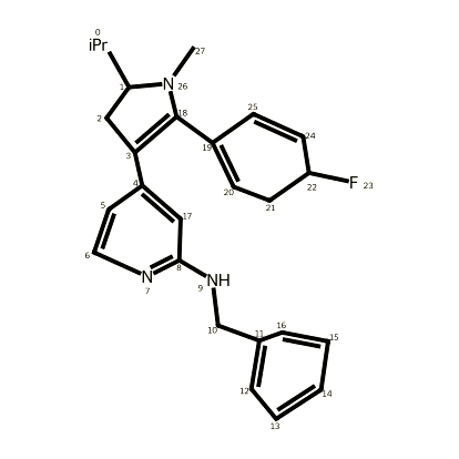 CC(C)C1CC(c2ccnc(NCc3ccccc3)c2)=C(C2=CCC(F)C=C2)N1C